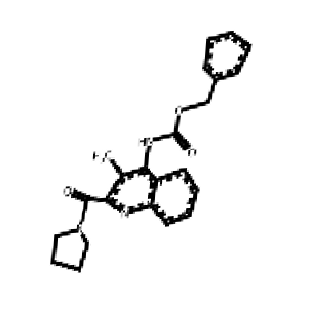 Cc1c(C(=O)N2CCCC2)nc2ccccc2c1NC(=O)OCc1ccccc1